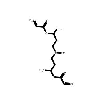 C=CC(=O)OC(C)CC[S+]([O-])CCC(C)OC(=O)C=C